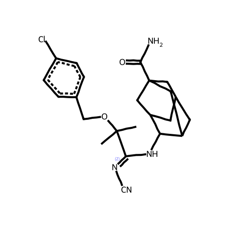 CC(C)(OCc1ccc(Cl)cc1)/C(=N/C#N)NC1C2CC3CC1CC(C(N)=O)(C3)C2